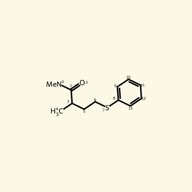 CNC(=O)C(C)CCSc1ccccc1